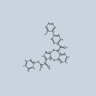 Cc1ccccc1-c1ccc(C(=O)N2Cc3ccc(C(=O)N(C)Cc4cccnc4)n3Cc3ccccc32)cc1